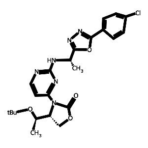 C[C@H](Nc1nccc(N2C(=O)OC[C@@H]2[C@@H](C)OC(C)(C)C)n1)c1nnc(-c2ccc(Cl)cc2)o1